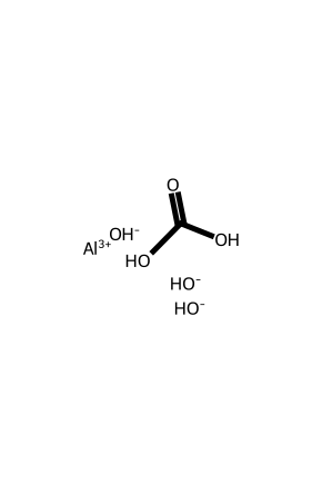 O=C(O)O.[Al+3].[OH-].[OH-].[OH-]